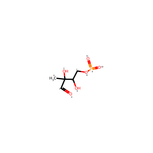 CC(O)(C=O)C(O)COP(=O)=O